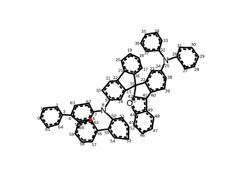 c1ccc(-c2ccc(N(c3ccc4c(c3)C3(c5ccccc5-4)c4cc(N(c5ccccc5)c5ccccc5)ccc4-c4c3oc3ccccc43)c3ccccc3-c3ccccc3)cc2)cc1